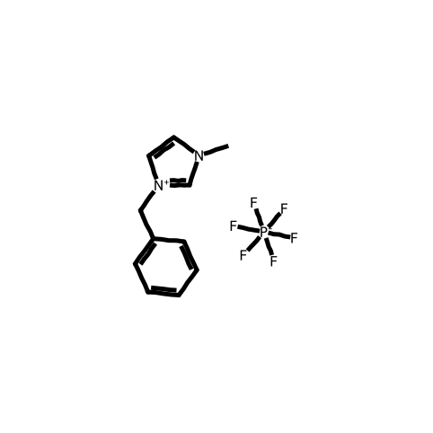 Cn1cc[n+](Cc2ccccc2)c1.F[P-](F)(F)(F)(F)F